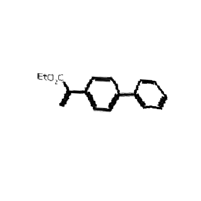 C=C(C(=O)OCC)c1ccc(-c2ccccc2)cc1